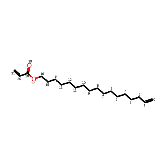 C=CCCCCCCCCCCCCCCCOC(=O)C=C